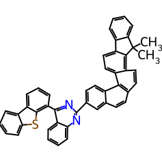 CC1(C)c2ccccc2-c2ccc3c(ccc4ccc5cc(-c6nc(-c7cccc8c7sc7ccccc78)c7ccccc7n6)ccc5c43)c21